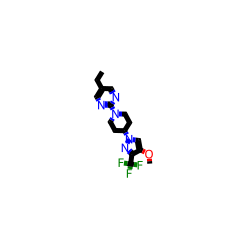 CCc1cnc(N2CCC(n3cc(OC)c(C(F)(F)F)n3)CC2)nc1